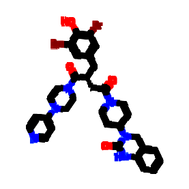 O=C(C[C@@H](Cc1cc(Br)c(O)c(Br)c1)C(=O)N1CCN(c2ccncc2)CC1)N1CCC(N2Cc3ccccc3NC2=O)CC1